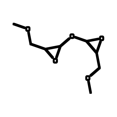 COCC1OC1OC1OC1COC